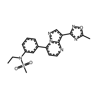 CCN(c1cccc(-c2ccnc3c(-c4noc(C)n4)cnn23)c1)S(C)(=O)=O